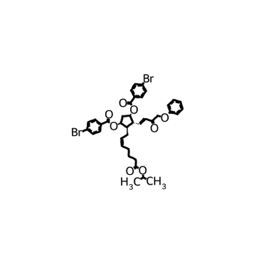 CC(C)OC(=O)CCC/C=C\C[C@@H]1[C@@H](/C=C/C(=O)COc2ccccc2)[C@H](OC(=O)c2ccc(Br)cc2)C[C@@H]1OC(=O)c1ccc(Br)cc1